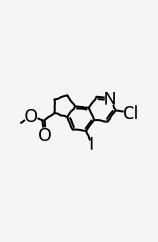 COC(=O)C1CCc2c1cc(I)c1cc(Cl)ncc21